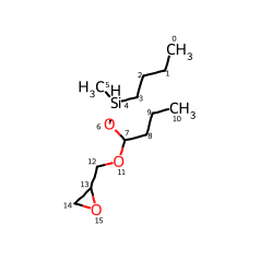 CCCC[SiH](C)OC(CCC)OCC1CO1